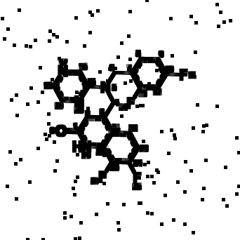 O=c1cc(CN(Cc2ccc(F)cc2F)c2cnccn2)c2ccc(F)c(F)c2[nH]1